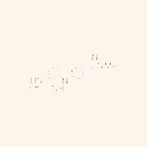 CN/C=C(\C=N)c1ccc2c(c1)C(C)CCN2c1cccc2c1NCCC(=O)N2